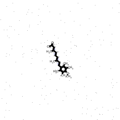 COc1c(C)c(C)c(/C=C/C(C)=C/C=C/C(C)=C/C(=O)Cl)c(C)c1C